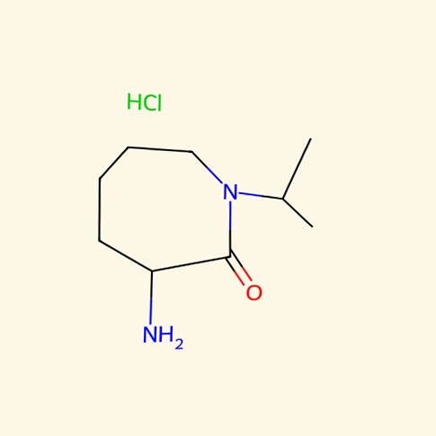 CC(C)N1CCCCC(N)C1=O.Cl